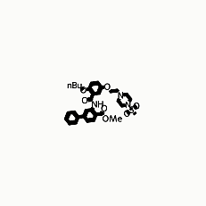 CCCCOc1ccc(OCCN2CCN(S(C)(=O)=O)CC2)cc1C(=O)Nc1cc(-c2ccccc2)ccc1C(=O)OC